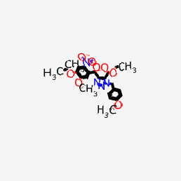 CCOC(=O)c1c(C(=O)c2cc(OC)c(OC(C)C)cc2[N+](=O)[O-])nnn1Cc1ccc(OC)cc1